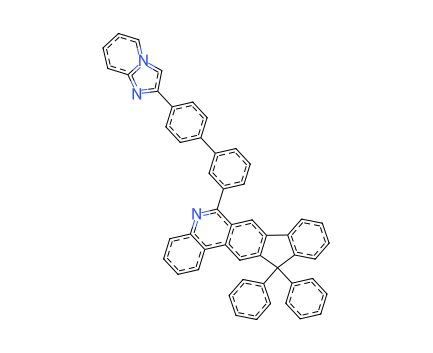 c1ccc(C2(c3ccccc3)c3ccccc3-c3cc4c(-c5cccc(-c6ccc(-c7cn8ccccc8n7)cc6)c5)nc5ccccc5c4cc32)cc1